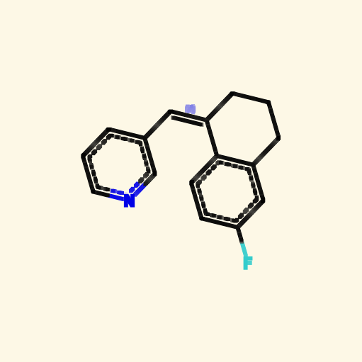 Fc1ccc2c(c1)CCC/C2=C/c1cccnc1